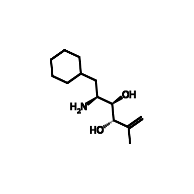 C=C(C)[C@H](O)[C@H](O)[C@@H](N)CC1CCCCC1